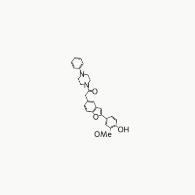 COc1cc(-c2cc3cc(CC(=O)N4CCN(c5ccccc5)CC4)ccc3o2)ccc1O